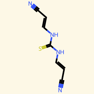 N#CC=CNC(=S)NC=CC#N